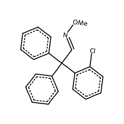 CON=CC(c1ccccc1)(c1ccccc1)c1ccccc1Cl